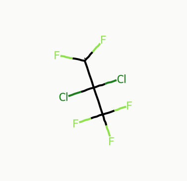 F[C](F)C(Cl)(Cl)C(F)(F)F